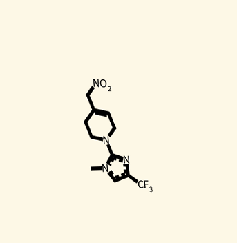 Cn1cc(C(F)(F)F)nc1N1CC=C(C[N+](=O)[O-])CC1